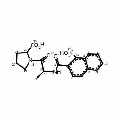 C[C@H](NC(=O)c1ccc2ccccc2c1C(=O)O)C(=O)N1CCCC1C(=O)O